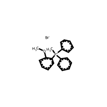 COc1ccccc1[P+](C)(c1ccccc1)c1ccccc1.[Br-]